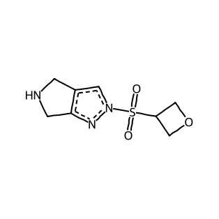 O=S(=O)(C1COC1)n1cc2c(n1)CNC2